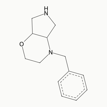 c1ccc(CN2CCOC3CNCC32)cc1